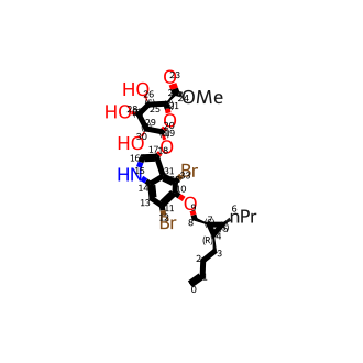 C=CCC[C@@H]1[C@H](CCC)[C@@H]1COc1c(Br)cc2[nH]cc(O[C@@H]3O[C@H](C(=O)OC)[C@@H](O)[C@H](O)[C@H]3O)c2c1Br